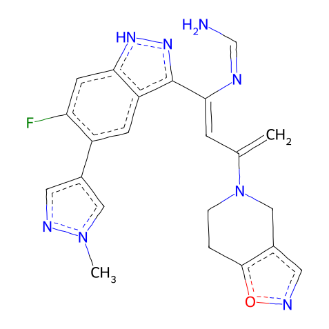 C=C(/C=C(\N=C/N)c1n[nH]c2cc(F)c(-c3cnn(C)c3)cc12)N1CCc2oncc2C1